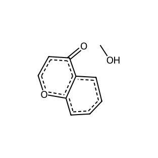 CO.O=c1ccoc2ccccc12